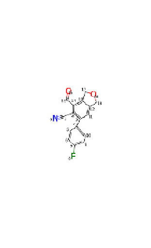 N#Cc1c(-c2ccc(F)cc2)cc2c(c1C=O)COC2